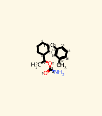 CC(OC(N)=O)C1CCCCC1.Cc1cccc(C)c1